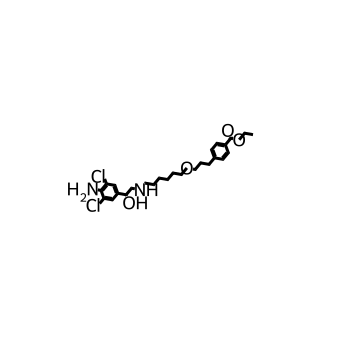 CCOC(=O)c1ccc(CCCOCCCCCCNCC(O)c2cc(Cl)c(N)c(Cl)c2)cc1